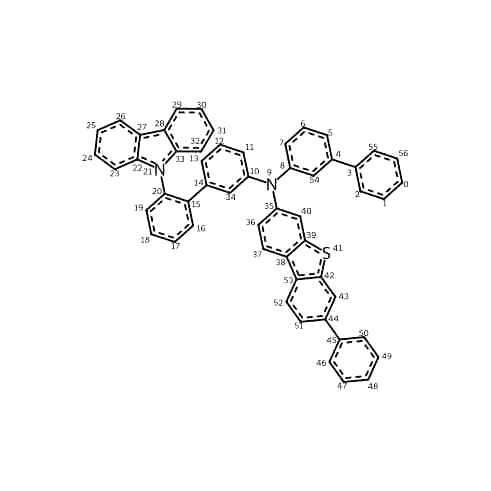 c1ccc(-c2cccc(N(c3cccc(-c4ccccc4-n4c5ccccc5c5ccccc54)c3)c3ccc4c(c3)sc3cc(-c5ccccc5)ccc34)c2)cc1